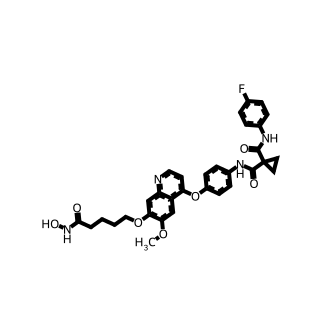 COc1cc2c(Oc3ccc(NC(=O)C4(C(=O)Nc5ccc(F)cc5)CC4)cc3)ccnc2cc1OCCCCC(=O)NO